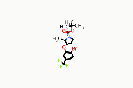 C[C@@H]1[C@@H](Oc2cc(C(F)(F)F)ccc2Br)CCN1C(=O)OC(C)(C)C